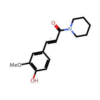 COc1cc(/C=C/C(=O)N2CCCCC2)ccc1O